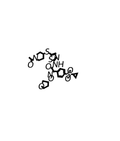 CC(=O)N1CCC(Sc2cnc(NC(=O)/C(=N/O[C@@H]3CCOC3)c3ccc(S(=O)(=O)C4CC4)cc3)s2)CC1